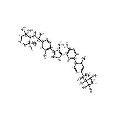 [2H]c1cc(S(=O)(=O)C([2H])(C([2H])([2H])[2H])C([2H])([2H])[2H])ccc1-c1cnc(N)c(-c2onc(-c3ccc(C([2H])([2H])NC4C([2H])([2H])COCC4([2H])[2H])cc3[2H])c2[2H])n1